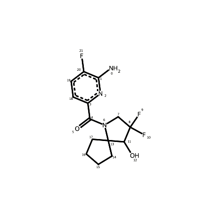 Nc1nc(C(=O)N2CC(F)(F)C(O)C23CCCC3)ccc1F